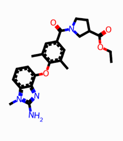 CCOC(=O)C1CCN(C(=O)c2cc(C)c(Oc3cccc4c3nc(N)n4C)c(C)c2)C1